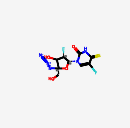 [N-]=[N+]=N[C@]1(CO)O[C@@H](n2cc(F)c(=S)[nH]c2=O)[C@@H](F)C1O